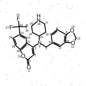 O=c1cc(N(Cc2ccc3c(c2)OCO3)C2CCNCC2)c2cc(C(F)(F)F)ccc2o1